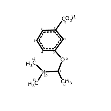 CC(Oc1cccc(C(=O)O)c1)N(C)C